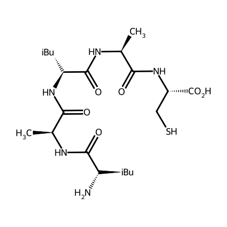 CC[C@H](C)[C@H](N)C(=O)N[C@@H](C)C(=O)N[C@H](C(=O)N[C@@H](C)C(=O)N[C@@H](CS)C(=O)O)[C@@H](C)CC